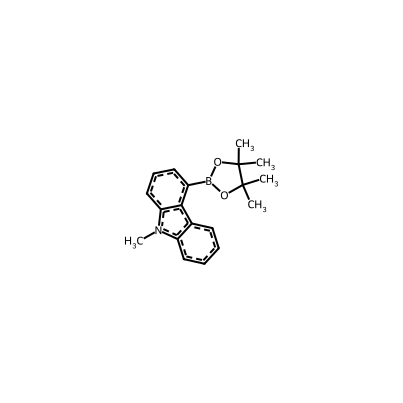 Cn1c2ccccc2c2c(B3OC(C)(C)C(C)(C)O3)cccc21